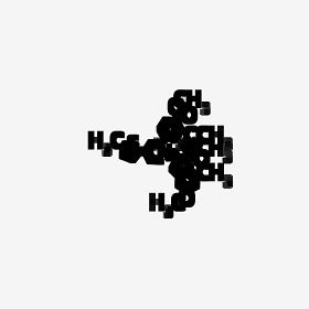 COC(=O)c1ccc([C@@H]2CC(c3ccc(C)s3)CCN2Cc2cc3cc(OC)cc(C)c3n2C(=O)OC(C)(C)C)cc1